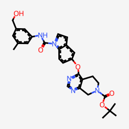 Cc1cc(CO)cc(NC(=O)n2ccc3cc(Oc4ncnc5c4CCN(C(=O)OC(C)(C)C)C5)ccc32)c1